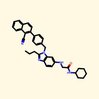 CCCc1nc2ccc(NCC(=O)NC3CCCCC3)cc2n1Cc1ccc(-c2ccc3ccccc3c2C#N)cc1